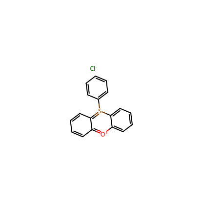 [Cl-].c1ccc(S2=c3ccccc3=[O+]c3ccccc32)cc1